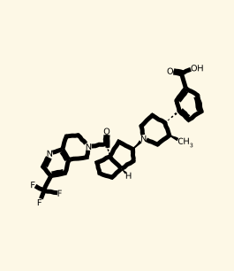 C[C@H]1CN([C@H]2C[C@H]3CCC[C@@]3(C(=O)N3CCc4ncc(C(F)(F)F)cc4C3)C2)CC[C@@H]1c1cccc(C(=O)O)c1